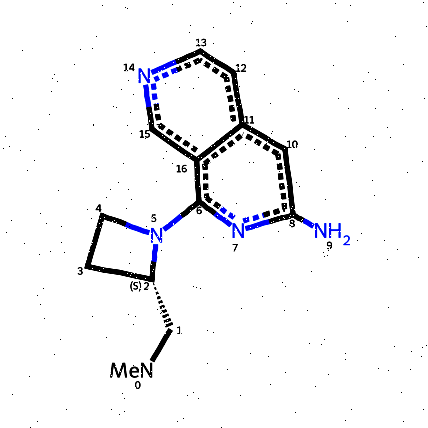 CNC[C@@H]1CCN1c1nc(N)cc2ccncc12